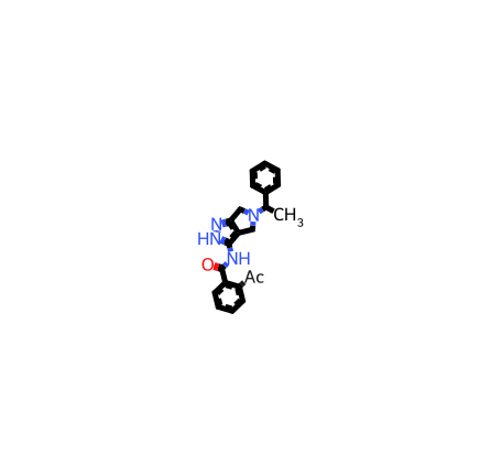 CC(=O)c1ccccc1C(=O)Nc1[nH]nc2c1CN(C(C)c1ccccc1)C2